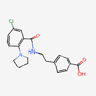 O=C(O)c1ccc(CCNC(=O)c2cc(Cl)ccc2N2CCCC2)cc1